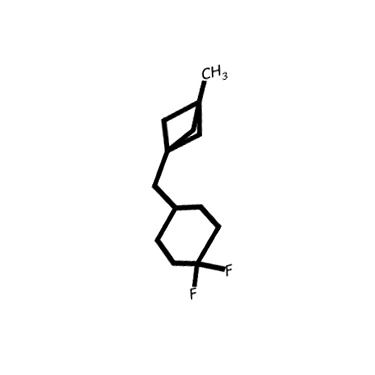 CC12CC(CC3CCC(F)(F)CC3)(C1)C2